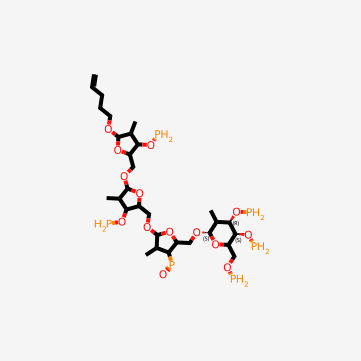 C=CCCCOC1OC(COC2OC(COC3OC(CO[C@H]4OC(COP)[C@H](OP)[C@H](OP)C4C)C(P=O)C3C)C(OP)C2C)C(OP)C1C